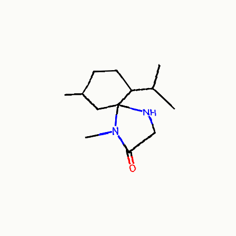 CC1CCC(C(C)C)C2(C1)NCC(=O)N2C